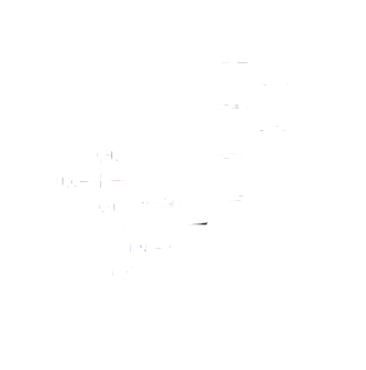 CNC(=O)[C@H](Cc1ccc(-c2cccc3ccccc23)cc1)NC(=O)OC(C)(C)C